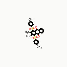 Cc1ccc(S(=O)(=O)c2c(C)c(C)c(S(=O)(=O)c3ccc(C)cc3)c3c2C(=O)c2ccccc2C3=O)cc1